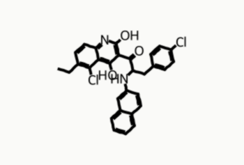 CCc1ccc2nc(O)c(C(=O)C(Cc3ccc(Cl)cc3)Nc3ccc4ccccc4c3)c(O)c2c1Cl